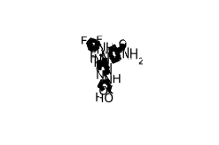 NC(=O)C1CCC(n2c(Nc3c(F)cc(F)cc3F)nc3cnc(NC4CCO[C@H](CO)C4)nc32)CC1